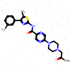 COC(=O)CN1CCN(c2cnc(C(=O)Nc3nc(-c4cccc(C(F)(F)F)c4)c(C)s3)cn2)CC1